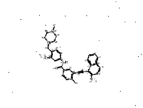 Cc1ccc(C(=O)Nc2ccc(CN3CCN(C)CC3)c(C(F)(F)F)c2)cc1C#Cc1c(N)ncc2ccccc12